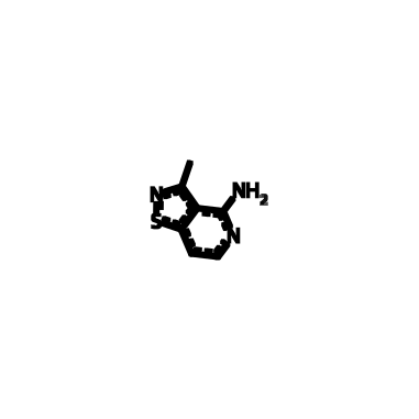 Cc1nsc2ccnc(N)c12